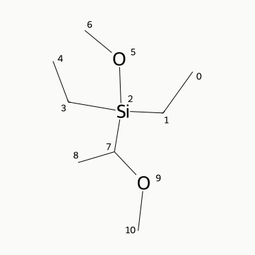 CC[Si](CC)(OC)C(C)OC